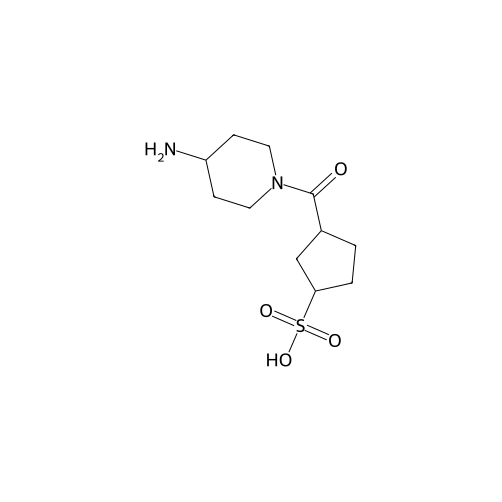 NC1CCN(C(=O)C2CCC(S(=O)(=O)O)C2)CC1